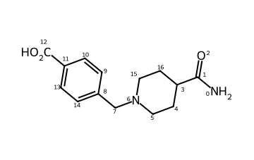 NC(=O)C1CCN(Cc2ccc(C(=O)O)cc2)CC1